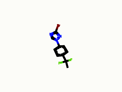 CC(F)(F)c1ccc(-n2cnc(Br)n2)cc1